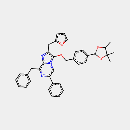 CC1OB(c2ccc(COc3c(Cc4ccco4)nc4c(Cc5ccccc5)nc(-c5ccccc5)cn34)cc2)OC1(C)C